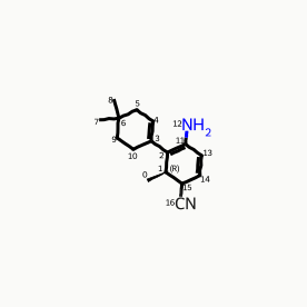 C[C@H]1C(C2=CCC(C)(C)CC2)=C(N)C=CC1C#N